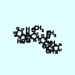 COc1cc(-c2ccc(NC(C(=O)O)c3ccccc3)c(OC)c2)ccc1NC(C(=O)O)c1ccccc1